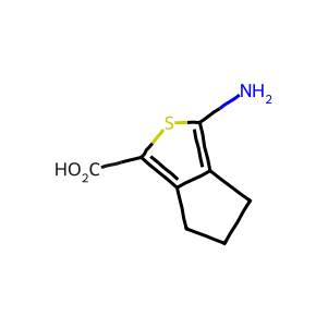 Nc1sc(C(=O)O)c2c1CCC2